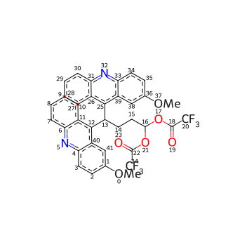 COc1ccc2nc3ccccc3c(C(CCC(OC(=O)C(F)(F)F)OC(=O)C(F)(F)F)c3c4ccccc4nc4ccc(OC)cc34)c2c1